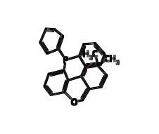 CC1(C)C=CC2=COc3cccc(P(c4ccccc4)c4ccccc4)c3C2=C1